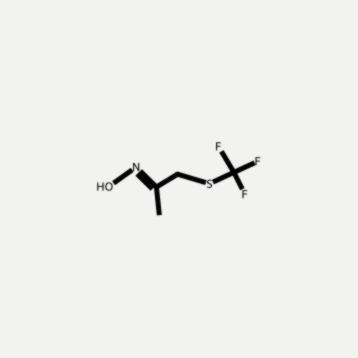 C/C(CSC(F)(F)F)=N\O